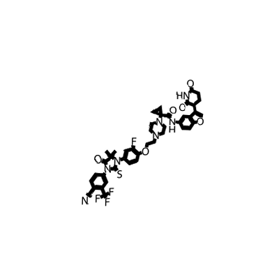 CC1(C)C(=O)N(c2ccc(C#N)c(C(F)(F)F)c2)C(=S)N1c1ccc(OCCN2CCN(C3(C(=O)Nc4ccc5occ(C6CCC(=O)NC6=O)c5c4)CC3)CC2)c(F)c1